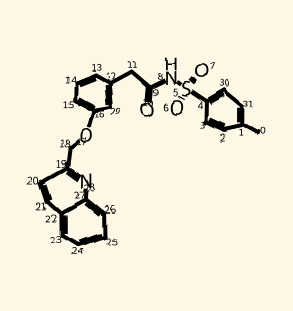 Cc1ccc(S(=O)(=O)NC(=O)Cc2cccc(OCc3ccc4ccccc4n3)c2)cc1